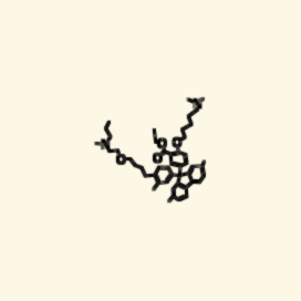 CCCN(C)CCOCCCCc1ccc(C2(c3ccc(OCCCCCN(C)C)c(C(=O)OCC)c3)c3cc(C)ccc3-c3ccc(C)cc32)cc1C